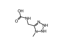 CN1NNN=C1CNC(=O)O